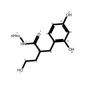 CCCCCCNC(=O)C(CCO)Cc1ccc(O)cc1O